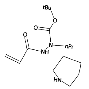 C1CCNCC1.C=CC(=O)NN(CCC)C(=O)OC(C)(C)C